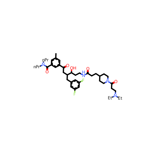 CCCN(CCC)C(=O)c1cc(C)cc(C(=O)CC(Cc2cc(F)cc(F)c2)C(O)CCNC(=O)CCC2CCN(C(=O)CCN(CC)CC)CC2)c1